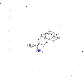 CC(N)C1CCC2(CC1)C1CC3CC(C1)CC2C3